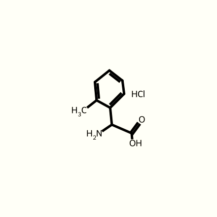 Cc1ccccc1C(N)C(=O)O.Cl